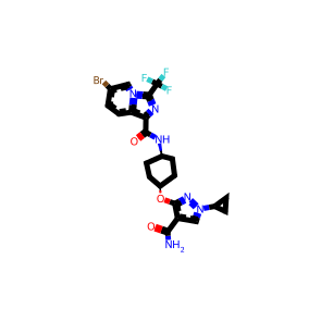 NC(=O)c1cn(C2CC2)nc1O[C@H]1CC[C@H](NC(=O)c2nc(C(F)(F)F)n3cc(Br)ccc23)CC1